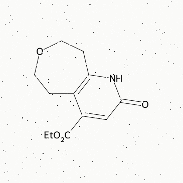 CCOC(=O)c1cc(=O)[nH]c2c1CCOCC2